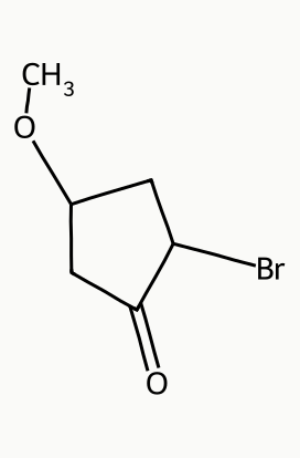 COC1CC(=O)C(Br)C1